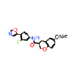 COc1ccc2c(c1)CC(C(=O)Nc1ccc(-c3cnco3)c(F)c1)CO2